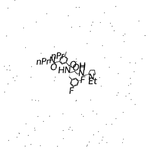 CCCN(CCC)C(=O)c1cc(C)cc(C(=O)N[C@@H](Cc2cc(F)cc(F)c2)[C@H](O)CNC[C@H]2CCCN2CC)c1